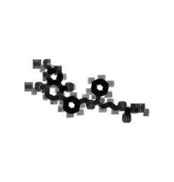 Cc1ncc2c(n1)N(C)CCN(c1cccc(CO[C@H](CCCOC(N)=O)c3ccccc3)c1)C2=O